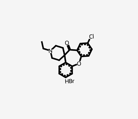 Br.CCN1CCC2(CC1)C(=O)c1cc(Cl)ccc1Oc1ccccc12